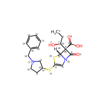 CC[C@H](O)[C@]1(C(=O)O)C(=O)N2C=C(S[C@H]3CCN(Cc4ccccc4)C3)S[C@@H]21